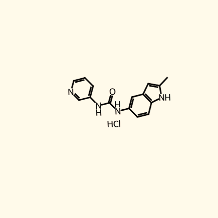 Cc1cc2cc(NC(=O)Nc3cccnc3)ccc2[nH]1.Cl